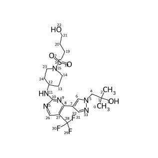 CC(C)(O)Cn1cc(-c2nc(NC3CCN(S(=O)(=O)CCCO)CC3)ncc2C(F)(F)F)cn1